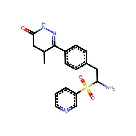 CC1CC(=O)NN=C1c1ccc(CC(N)S(=O)(=O)c2cccnc2)cc1